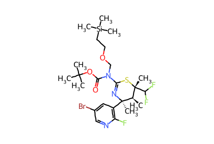 C[C@H]1[C@@](C)(c2cc(Br)cnc2F)N=C(N(COCC[Si](C)(C)C)C(=O)OC(C)(C)C)S[C@]1(C)C(F)F